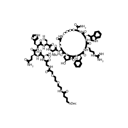 CCCCCCCCCCCCCC(=O)NCCOCCOCC(=O)NCC(=O)N[C@@H](CO)C(=O)N[C@@H](CCC(N)=O)C(=O)N[C@@H](Cc1c[nH]cn1)C(=O)N[C@@H](CO)C(=O)N[C@@H](CCCC)C(=O)N[C@H]1CCC(=O)NCCCC[C@@H](C(N)=O)NC(=O)[C@H](Cc2c[nH]c3ccccc23)NC(=O)[C@H](CCCNC(=N)N)NC(=O)[C@@H](Cc2ccccc2)NC(=O)[C@@H]2C[C@@H](O)CN2C1=O